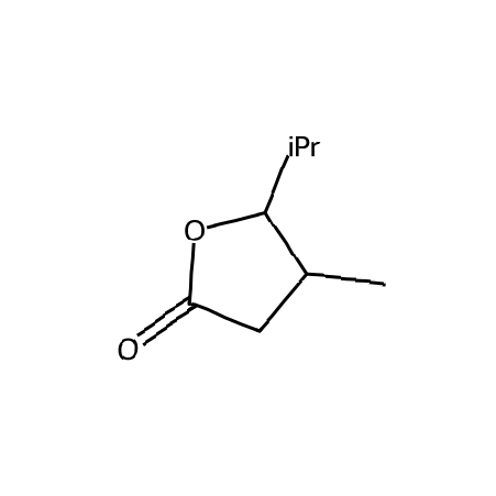 CC(C)C1OC(=O)CC1C